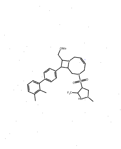 COCC1C(c2ccc(-c3cccc(C)c3C)cc2)C2CN(S(=O)(=O)C3CN(C)NC3C(F)(F)F)C/C=C\CN12